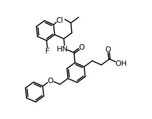 CC(C)CC(NC(=O)c1cc(COc2ccccc2)ccc1CCC(=O)O)c1c(F)cccc1Cl